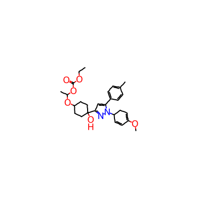 CCOC(=O)OC(C)OC1CCC(O)(c2cc(-c3ccc(C)cc3)n(C3C=CC(OC)=CC3)n2)CC1